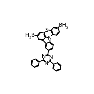 Bc1ccc2c(c1)Sc1cc(B)cc3c4cc(-c5nc(-c6ccccc6)nc(-c6ccccc6)n5)ccc4n-2c13